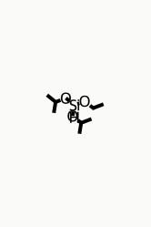 CCO[SiH](OC(C)C)OC(C)C